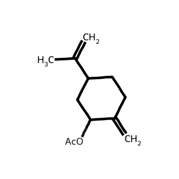 C=C(C)C1CCC(=C)C(OC(C)=O)C1